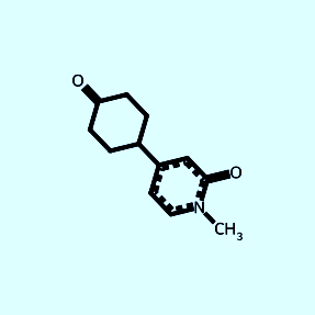 Cn1ccc(C2CCC(=O)CC2)cc1=O